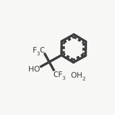 O.OC(c1ccccc1)(C(F)(F)F)C(F)(F)F